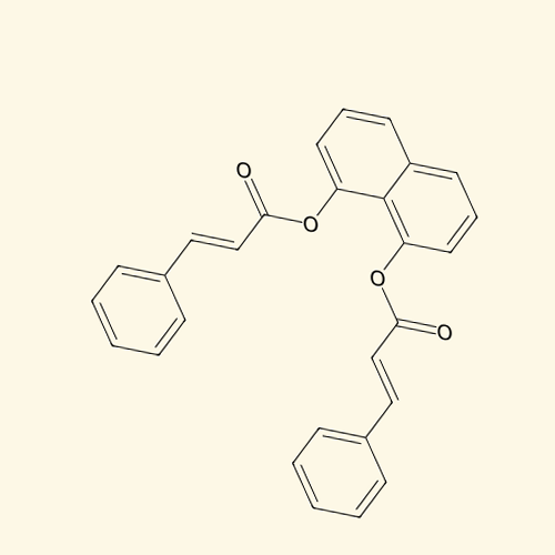 O=C(/C=C/c1ccccc1)Oc1cccc2cccc(OC(=O)/C=C/c3ccccc3)c12